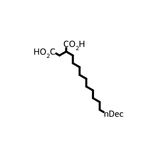 CCCCCCCCCCCCCCCCCCCCC(CC(=O)O)C(=O)O